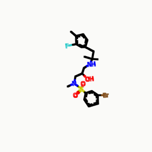 Cc1ccc(CC(C)(C)NC[C@@H](O)CN(C)S(=O)(=O)c2cccc(Br)c2)cc1F